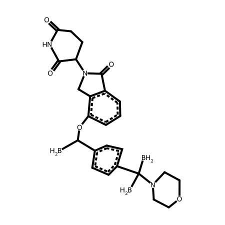 BC(Oc1cccc2c1CN(C1CCC(=O)NC1=O)C2=O)c1ccc(C(B)(B)N2CCOCC2)cc1